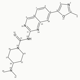 Cc1ncc(-c2ccc3cnc(NC(=O)N4CCC(N(C)C)CC4)nc3c2)o1